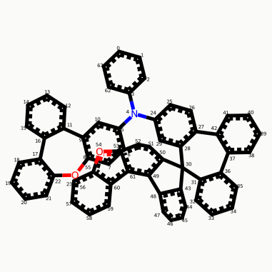 c1ccc(N(c2ccc3c(c2)-c2ccccc2-c2ccccc2O3)c2ccc3c(c2)C2(c4ccccc4-c4ccccc4-3)c3ccccc3-c3c2ccc2oc4ccccc4c32)cc1